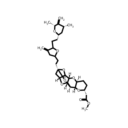 C=C1CC(CC[C@@]23C[C@H]4O[C@H]5[C@@H](O2)[C@H]2O[C@@H](CC(=O)OC)CC[C@@H]2O[C@H]5[C@H]4O3)OC1CC[C@H]1C[C@@H](C)C(=C)[C@@H](C)O1